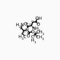 CCC(CN)N(C(=O)OC(C)(C)C)C(=O)[C@@H](N)CC(=O)O